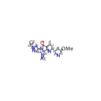 COc1cncc(-c2cc(C)c3c(n2)C2(CN(C(C)=O)C2)N(c2cnn(CC(F)(F)F)c2)C3=O)c1